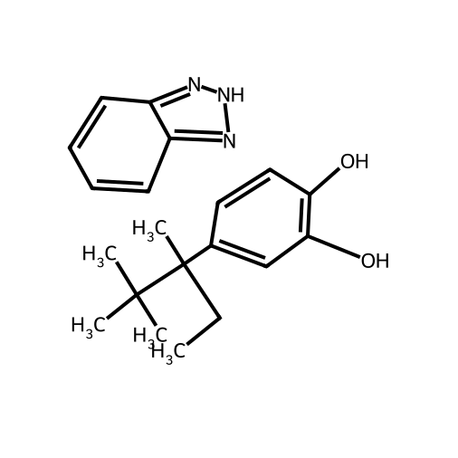 CCC(C)(c1ccc(O)c(O)c1)C(C)(C)C.c1ccc2n[nH]nc2c1